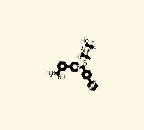 N=C(N)c1cccc(C2=CCN(C(=O)c3ccc(-c4cnccn4)cc3)CC2)c1.O=C(O)C(F)(F)F.O=C(O)C(F)(F)F